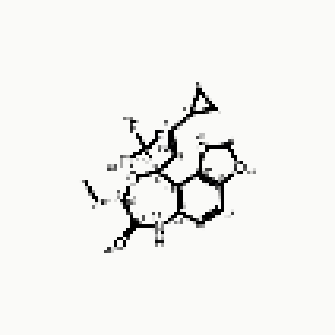 CC[C@@H]1O[C@](C=CC2CC2)(C(F)(F)F)c2c(ccc3c2OCO3)NC1=O